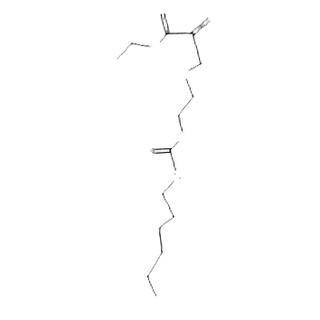 C=C(CSCCOC(=O)NCCCCCC)C(=O)OCC